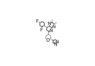 Cc1nc2nc([C@@H]3CCO[C@H](c4cnn(C)c4)C3)cc(-c3ccc(F)cc3F)c2nc1C